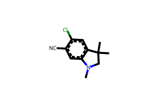 CN1CC(C)(C)c2cc(Cl)c(C#N)cc21